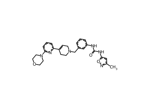 Cc1cc(NC(=O)Nc2cccc(CN3CC=C(c4cccc(N5CCOCC5)n4)CC3)c2)on1